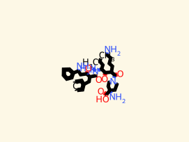 CC(C)CC(C(=O)C(CCCCN)C(=O)N1CCC(N)(C(=O)O)CC1)N(N)C(=O)C(Cc1ccccc1)C(=O)CC(N)c1ccccc1